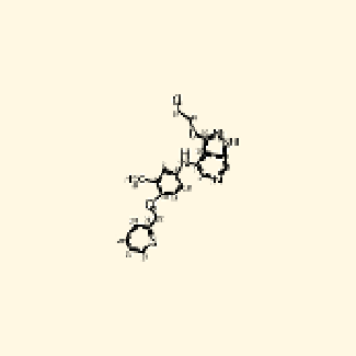 Cc1cc(Nc2cncc3[nH]nc(OCCCl)c23)ccc1OCc1ccccn1